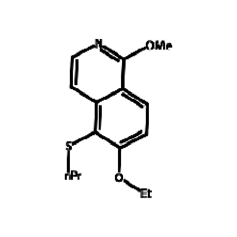 CCCSc1c(OCC)ccc2c(OC)nccc12